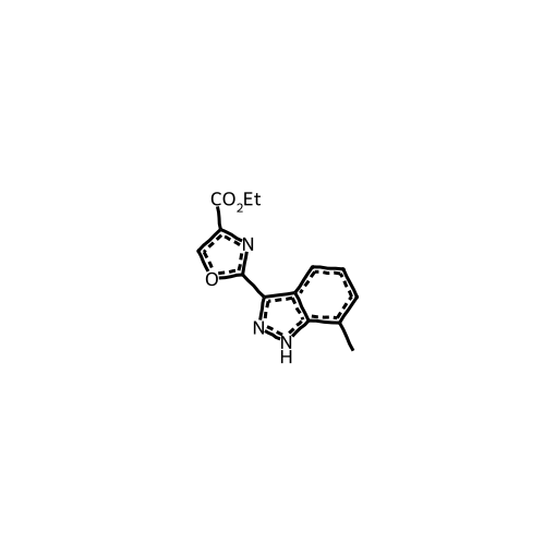 CCOC(=O)c1coc(-c2n[nH]c3c(C)cccc23)n1